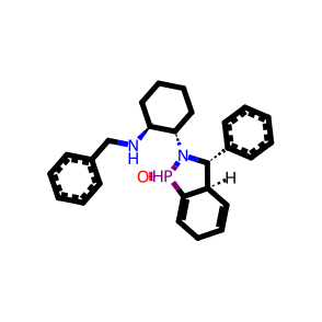 O=[PH]1C2=CCC=C[C@@H]2[C@@H](c2ccccc2)N1[C@H]1CCCC[C@@H]1NCc1ccccc1